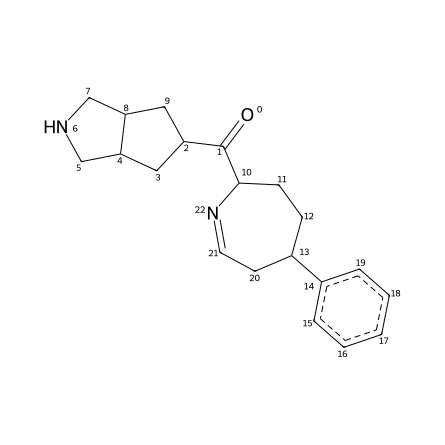 O=C(C1CC2CNCC2C1)C1CCC(c2ccccc2)CC=N1